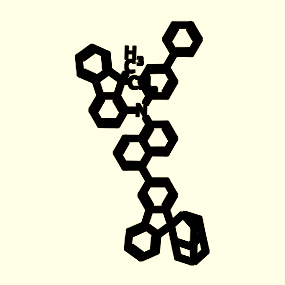 CC1(C)c2ccccc2-c2cccc(N(c3ccc(-c4ccccc4)cc3)c3cccc4c(-c5ccc6c(c5)-c5ccccc5C65C6CC7CC(C6)CC5C7)cccc34)c21